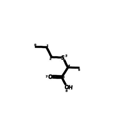 CCCSC(C)C(=O)O